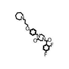 O=C(c1ccc(F)cc1F)N1CCN(c2ccc(OCCCN3CCCCCC3)cc2)C(=O)C1